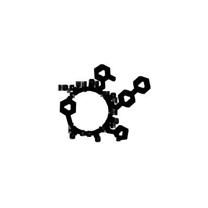 Cc1ccccc1C[C@H]1NC(=O)[C@H](Cc2ccc(-c3ccccc3)cc2)NC(=O)[C@@H](Cc2cccs2)NC(=O)CCC(=O)Nc2ccc(cc2)C[C@@H](C(=O)O)NC1=O